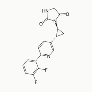 O=C1CNC(=O)N1[C@H]1C[C@@H]1c1ccc(-c2cccc(F)c2F)nc1